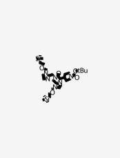 CC(C)(C)OC(=O)N1CCC(CC(=O)N(Cc2nccn2COCC[Si](C)(C)C)Cc2nccn2COCC[Si](C)(C)C)CC1